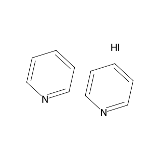 I.c1ccncc1.c1ccncc1